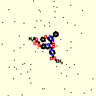 CCOC(=O)N1CCN(C(=O)C(Cc2ccc(OCC(=O)OC)cc2)NC(=O)c2cc(OC3CCCC3)nc(-c3ccccc3)n2)CC1